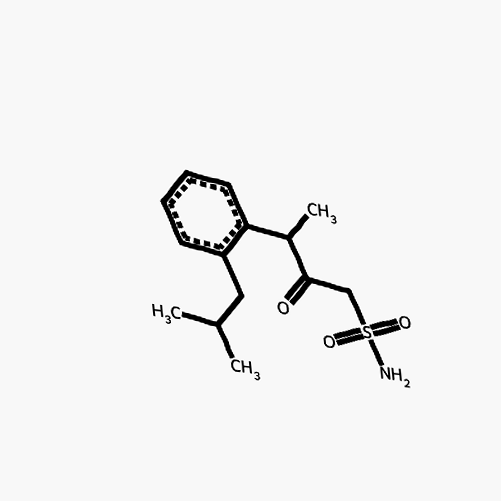 CC(C)Cc1ccccc1C(C)C(=O)CS(N)(=O)=O